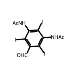 CC(=O)Nc1c(I)c([C]=O)c(I)c(NC(C)=O)c1I